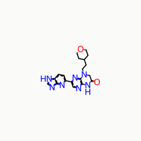 O=C1CN(CCC2CCOCC2)c2nc(-c3ccc4[nH]cnc4n3)cnc2N1